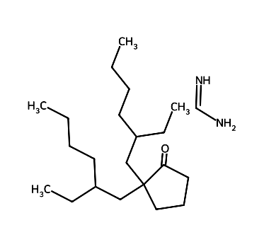 CCCCC(CC)CC1(CC(CC)CCCC)CCCC1=O.N=CN